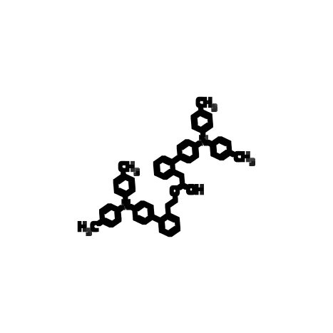 Cc1ccc(N(c2ccc(C)cc2)c2ccc(-c3ccccc3CCOC(O)Cc3ccccc3-c3ccc(N(c4ccc(C)cc4)c4ccc(C)cc4)cc3)cc2)cc1